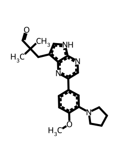 COc1ccc(-c2cnc3[nH]cc(CC(C)(C)C=O)c3n2)cc1N1CCCC1